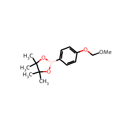 COCOc1ccc(B2OC(C)(C)C(C)(C)O2)cc1